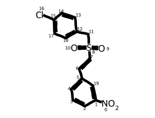 O=[N+]([O-])c1cccc(C=CS(=O)(=O)Cc2ccc(Cl)cc2)c1